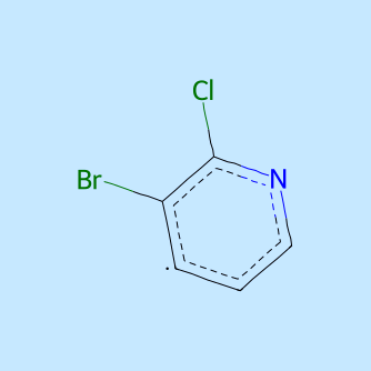 Clc1ncc[c]c1Br